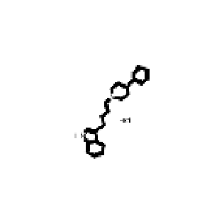 Cl.c1ccc(C2CCN(CCCCc3c[nH]c4ccccc34)CC2)cc1